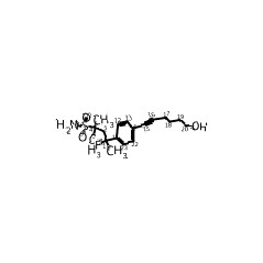 CC(F)(CC(C)(C)S(N)(=O)=O)c1ccc(C#CCCCCO)cc1